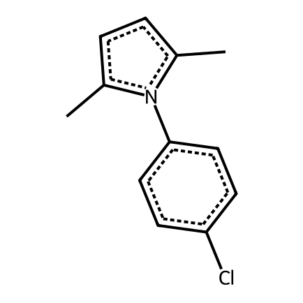 Cc1ccc(C)n1-c1ccc(Cl)cc1